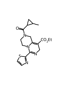 CCOC(=O)C1=C2CN(C(=O)C3CC3C)CCN2C(c2nccs2)=NC1